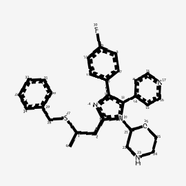 CC(Cc1nc(-c2ccc(F)cc2)c(-c2ccncc2)n1C1CNCCO1)SCc1ccccc1